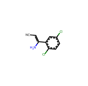 N#C/C=C(\N)c1cc(Cl)ccc1Cl